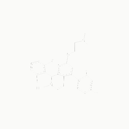 CN(C)CCNc1cc(-c2ccc(F)cc2Cl)c2c(n1)C(c1c(F)cccc1F)N(O)C=C2